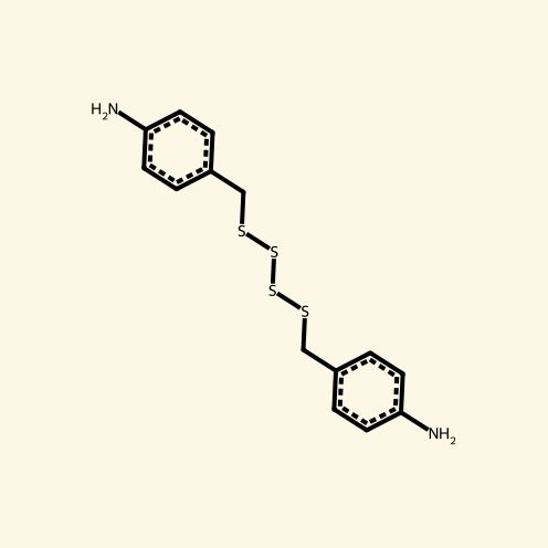 Nc1ccc(CSSSSCc2ccc(N)cc2)cc1